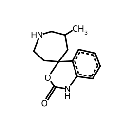 CC1CNCCC2(C1)OC(=O)Nc1ccccc12